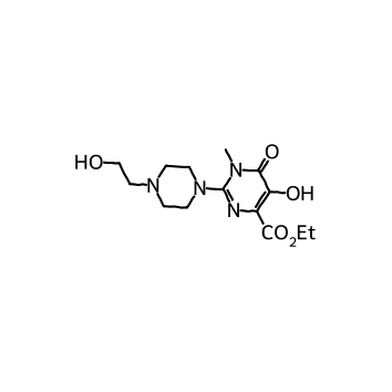 CCOC(=O)c1nc(N2CCN(CCO)CC2)n(C)c(=O)c1O